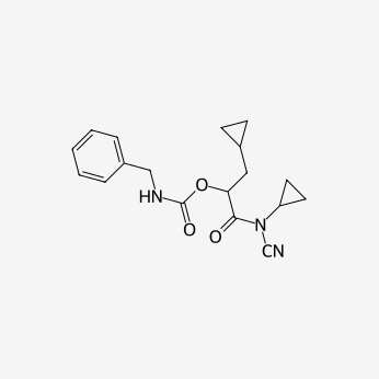 N#CN(C(=O)C(CC1CC1)OC(=O)NCc1ccccc1)C1CC1